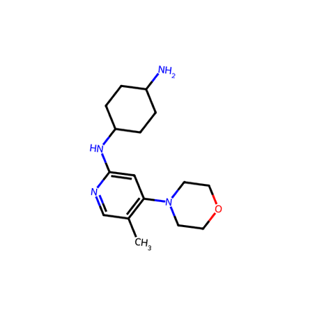 Cc1cnc(NC2CCC(N)CC2)cc1N1CCOCC1